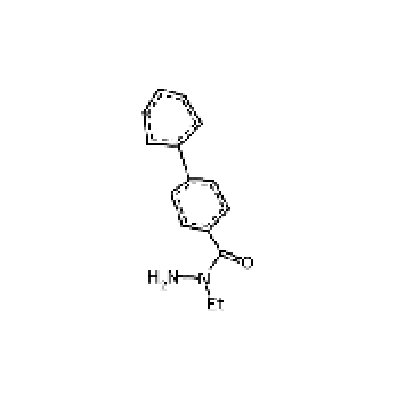 CCN(N)C(=O)c1ccc(-c2ccccc2)cc1